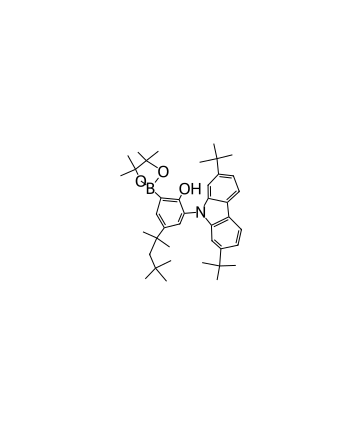 CC(C)(C)CC(C)(C)c1cc(B2OC(C)(C)C(C)(C)O2)c(O)c(-n2c3cc(C(C)(C)C)ccc3c3ccc(C(C)(C)C)cc32)c1